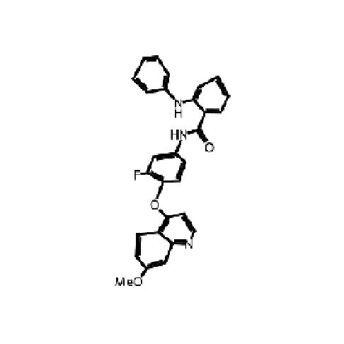 COc1ccc2c(Oc3ccc(NC(=O)c4ccccc4Nc4ccccc4)cc3F)ccnc2c1